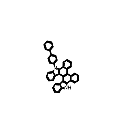 c1ccc(-c2ccc(-n3c4ccccc4c4c5c(c6ccccc6c6[nH]c7ccccc7c65)c5ccccc5c43)cc2)cc1